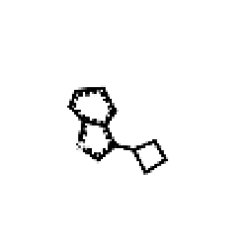 c1ccc2c(C3CCC3)csc2c1